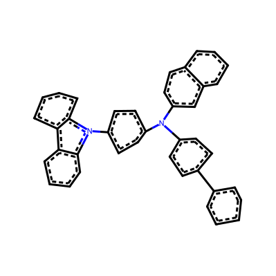 c1ccc(-c2ccc(N(c3ccc(-n4c5ccccc5c5ccccc54)cc3)c3ccc4ccccc4c3)cc2)cc1